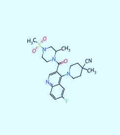 CC1CN(S(C)(=O)=O)CCN1C(=O)c1cnc2ccc(F)cc2c1N1CCC(C)(C#N)CC1